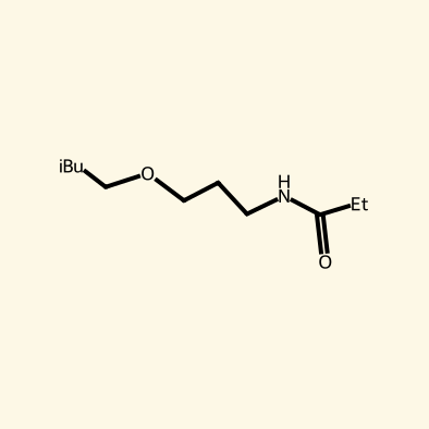 CCC(=O)NCCCOCC(C)CC